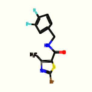 Cc1nc(Br)sc1C(=O)NCc1ccc(F)c(F)c1